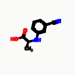 C[C@H](Nc1cccc(C#N)c1)C(=O)O